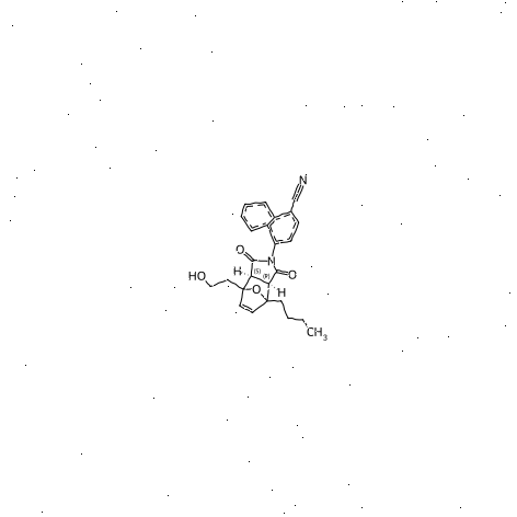 CCCCC12C=CC(CCO)(O1)[C@H]1C(=O)N(c3ccc(C#N)c4ccccc34)C(=O)[C@H]12